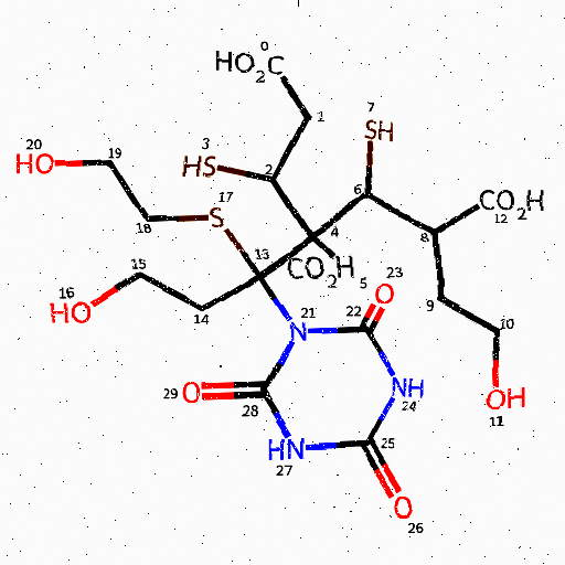 O=C(O)CC(S)C(C(=O)O)(C(S)C(CCO)C(=O)O)C(CCO)(SCCO)n1c(=O)[nH]c(=O)[nH]c1=O